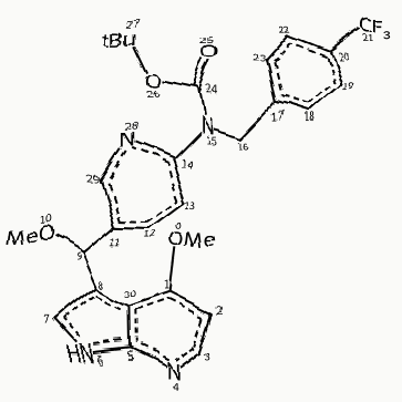 COc1ccnc2[nH]cc(C(OC)c3ccc(N(Cc4ccc(C(F)(F)F)cc4)C(=O)OC(C)(C)C)nc3)c12